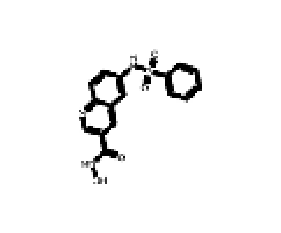 O=C(NO)c1cnc2ccc(NS(=O)(=O)c3ccccc3)cc2c1